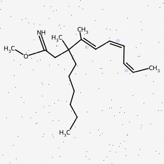 C\C=C/C=C\C=C(/C)C(C)(CCCCCC)CC(=N)OC